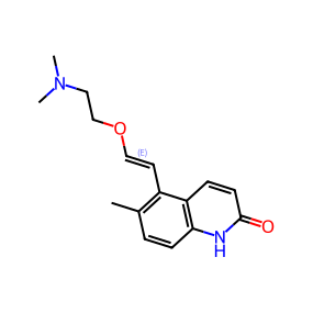 Cc1ccc2[nH]c(=O)ccc2c1/C=C/OCCN(C)C